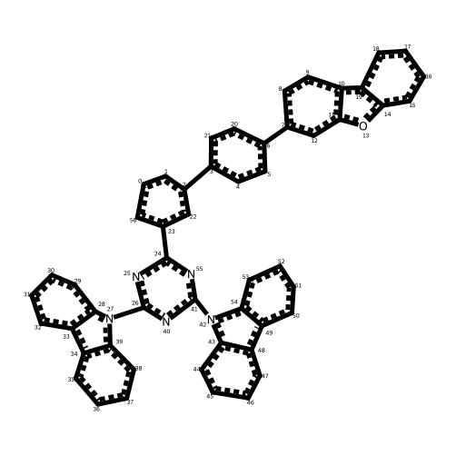 c1cc(-c2ccc(-c3ccc4c(c3)oc3ccccc34)cc2)cc(-c2nc(-n3c4ccccc4c4ccccc43)nc(-n3c4ccccc4c4ccccc43)n2)c1